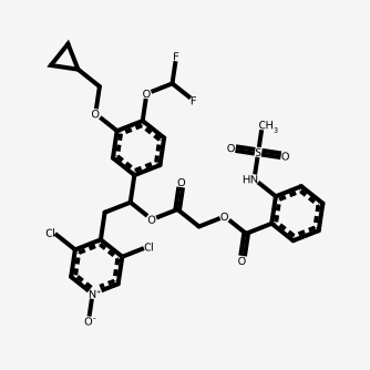 CS(=O)(=O)Nc1ccccc1C(=O)OCC(=O)OC(Cc1c(Cl)c[n+]([O-])cc1Cl)c1ccc(OC(F)F)c(OCC2CC2)c1